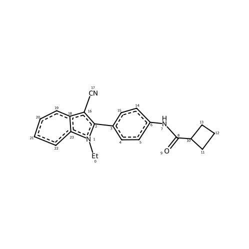 CCn1c(-c2ccc(NC(=O)C3CCC3)cc2)c(C#N)c2ccccc21